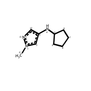 Cn1cc(NC2CCCC2)cn1